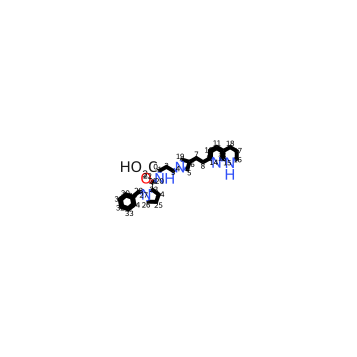 O=C(O)[C@H](CCN1CC(CCc2ccc3c(n2)NCCC3)C1)NC(=O)[C@@H]1CCCN1Cc1ccccc1